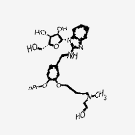 CCCOc1ccc(CNc2nc3ccccc3n2[C@@H]2O[C@H](CO)[C@@H](O)[C@H]2O)cc1OCCCN(C)CCO